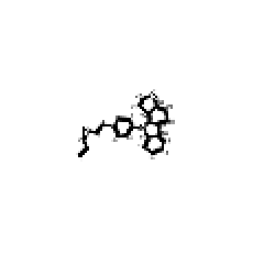 C=C/C=N\C=C\c1ccc(-n2c3ccccc3c3ccc4sccc4c32)cc1